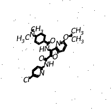 CC(C)Oc1ccc2oc(C(=O)Nc3ccc(Cl)cn3)c(NC(=O)C3CCC(N(C)C)CC3)c2n1